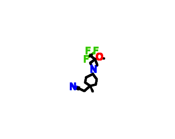 COC1(C(F)(F)F)CN([C@H]2CC[C@@](C)(CC#N)CC2)C1